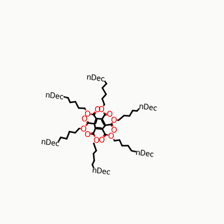 CCCCCCCCCCCCCCCOC(=O)c1c(C(=O)OCCCCCCCCCCCCCCC)c(C(=O)OCCCCCCCCCCCCCCC)c(C(=O)OCCCCCCCCCCCCCCC)c(C(=O)OCCCCCCCCCCCCCCC)c1C(=O)OCCCCCCCCCCCCCCC